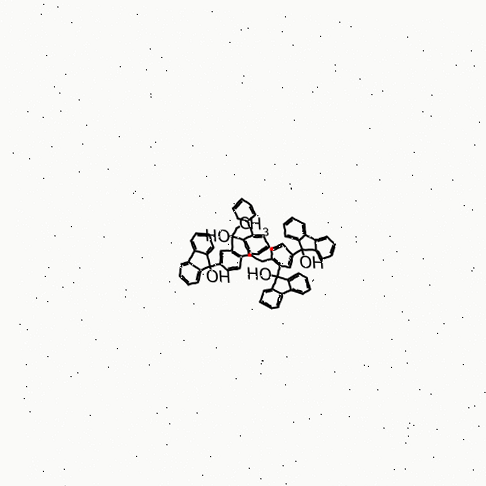 CCC(O)(c1cc(C2(O)c3ccccc3-c3ccccc32)ccc1CCc1ccc(C2(O)c3ccccc3-c3ccccc32)cc1C1(O)c2ccccc2-c2ccccc21)c1ccccc1C1C=CC=CC1